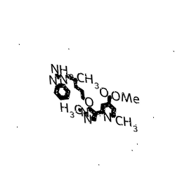 COC(=O)c1cc(C)nc(-c2cnn(C)c2OCCCC(C)Cn2c(N)nc3ccccc32)c1